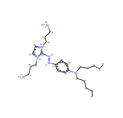 CCCCCN(CCCCC)c1ccc(/N=N/c2n(CCCN)cc[n+]2CCCN)cc1